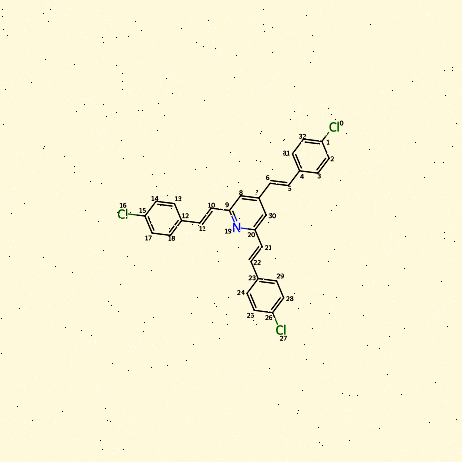 Clc1ccc(/C=C/c2cc(/C=C/c3ccc(Cl)cc3)nc(/C=C/c3ccc(Cl)cc3)c2)cc1